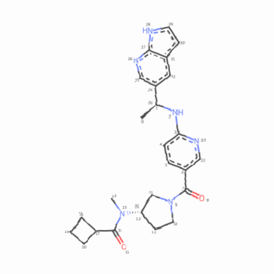 C[C@H](Nc1ccc(C(=O)N2CC[C@H](N(C)C(=O)C3CCC3)C2)cn1)c1cnc2[nH]ccc2c1